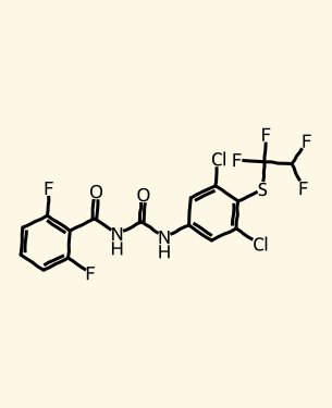 O=C(NC(=O)c1c(F)cccc1F)Nc1cc(Cl)c(SC(F)(F)C(F)F)c(Cl)c1